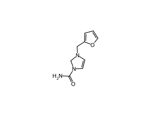 NC(=O)N1C=CN(Cc2ccco2)C1